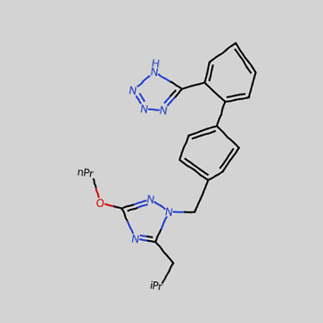 CCCOc1nc(CC(C)C)n(Cc2ccc(-c3ccccc3-c3nnn[nH]3)cc2)n1